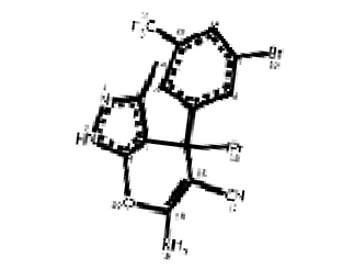 Cc1n[nH]c2c1C(c1cc(Br)cc(C(F)(F)F)c1)(C(C)C)C(C#N)=C(N)O2